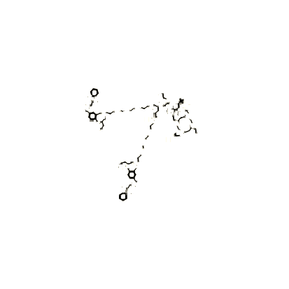 CN(Cc1nc2ccccc2[nH]1)C(=O)c1ccc2c(c1)CN(CCCOCCOCCOCCCNC(=O)CCC(NC(=O)[C@H](CCC(=O)O)NC(=O)C(CCC(C)(O)O)NC(=O)CN1CCN(CC(=O)O)CCN(CC(=O)O)CCN(CC(=O)O)CC1)C(=O)NCCCOCCOCCOCCCN1Cc3cc(C(=O)N(C)Cc4nc5ccccc5[nH]4)ccc3NC(CC(=O)O)C1=O)C(=O)C(CC(=O)O)N2